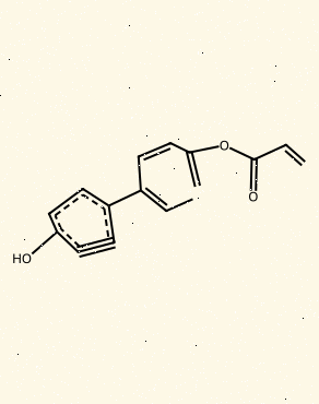 C=CC(=O)OC(=C)/C=C\C(=C/C)c1c#cc(O)cc1